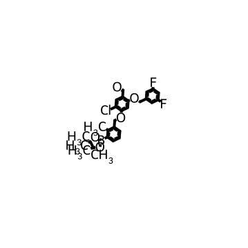 Cc1c(COc2cc(OCc3cc(F)cc(F)c3)c(C=O)cc2Cl)cccc1B1OC(C)(C)C(C)(C)O1